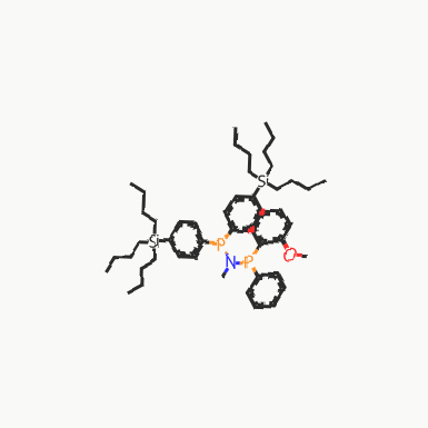 CCCC[Si](CCCC)(CCCC)c1ccc(P(c2ccc([Si](CCCC)(CCCC)CCCC)cc2)N(C)P(c2ccccc2)c2ccccc2OC)cc1